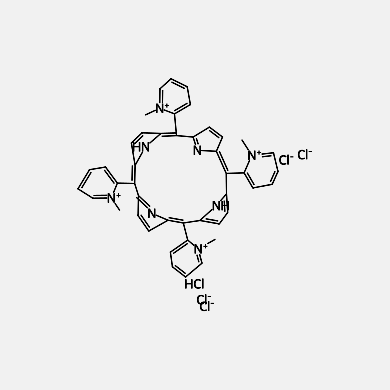 C[n+]1ccccc1-c1c2nc(c(-c3cccc[n+]3C)c3ccc([nH]3)c(-c3cccc[n+]3C)c3nc(c(-c4cccc[n+]4C)c4ccc1[nH]4)C=C3)C=C2.Cl.[Cl-].[Cl-].[Cl-].[Cl-]